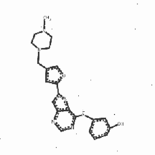 CN1CCN(Cc2coc(-c3cc4ncnc(Nc5cccc(O)c5)c4s3)c2)CC1